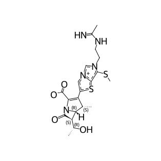 CSc1c2sc(C3=C(C(=O)[O-])N4C(=O)[C@H]([C@@H](C)O)[C@H]4[C@H]3C)c[n+]2cn1CCNC(C)=N